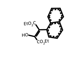 CCOC(=O)/C(O)=C(/C(=O)OCC)c1cccc2ccccc12